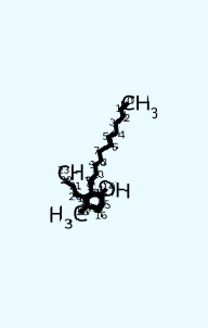 CCCCCCCCCCCCc1c(O)ccc(C)c1CCCC